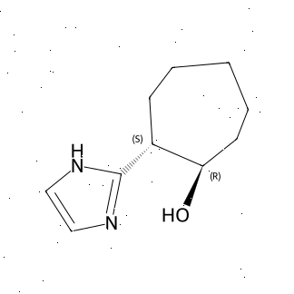 O[C@@H]1CCCCC[C@H]1c1ncc[nH]1